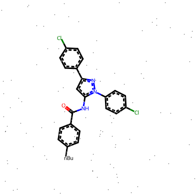 CCCCc1ccc(C(=O)Nc2cc(-c3ccc(Cl)cc3)nn2-c2ccc(Cl)cc2)cc1